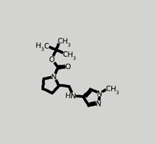 Cn1cc(NCC2CCCN2C(=O)OC(C)(C)C)cn1